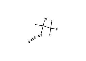 CC(O)(N=[N+]=[N-])C(F)(F)F